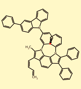 C=C/C=C\c1c(C)n(-c2cccc(-n3c4ccccc4c4cc(-c5ccccc5)ccc43)c2)c2c1ccc1c(-c3ccccc3)c(-c3ccccc3)n(-c3ccccc3)c12